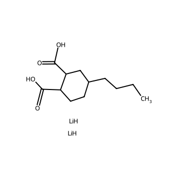 CCCCC1CCC(C(=O)O)C(C(=O)O)C1.[LiH].[LiH]